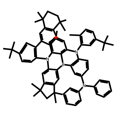 Cc1cc2c3c(c1)N(c1ccc(C(C)(C)C)cc1-c1ccc4c(c1)C(C)(C)CCC4(C)C)c1cc4c(cc1B3c1cc(N(c3ccccc3)c3ccccc3)ccc1N2c1cc(C(C)(C)C)ccc1C)C(C)(C)CC4(C)C